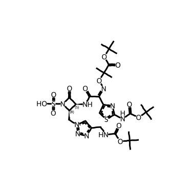 CC(C)(C)OC(=O)NCc1cn(C[C@@H]2[C@H](NC(=O)C(=NOC(C)(C)C(=O)OC(C)(C)C)c3csc(NC(=O)OC(C)(C)C)n3)C(=O)N2S(=O)(=O)O)nn1